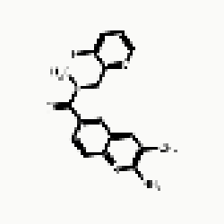 Cc1cc2cc(C(=O)N(C)Cc3ncccc3F)ccc2nc1N